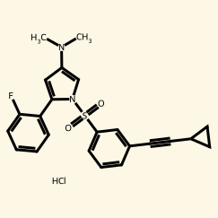 CN(C)c1cc(-c2ccccc2F)n(S(=O)(=O)c2cccc(C#CC3CC3)c2)c1.Cl